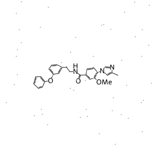 COc1cc(C(=O)NCCc2cccc(Oc3ccccc3)c2)ccc1-n1cnc(C)c1